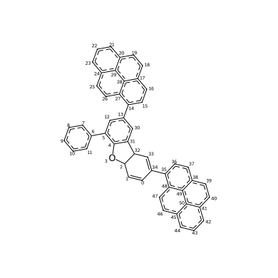 C1=CC2Oc3c(-c4ccccc4)cc(-c4ccc5ccc6cccc7ccc4c5c67)cc3C2C=C1c1ccc2ccc3cccc4ccc1c2c34